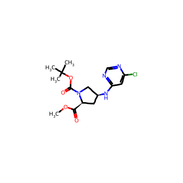 COC(=O)[C@@H]1C[C@H](Nc2cc(Cl)ncn2)CN1C(=O)OC(C)(C)C